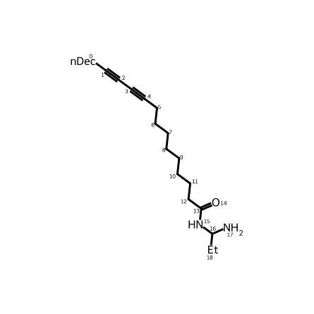 CCCCCCCCCCC#CC#CCCCCCCCCC(=O)NC(N)CC